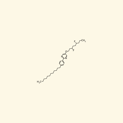 CCCCCCCCCCCCc1ccc(-c2ncc(OCCC(F)CCC(F)CCC)cn2)cc1